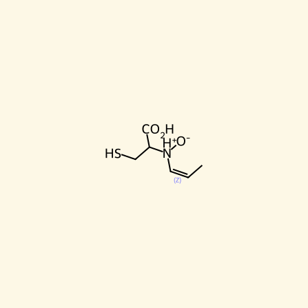 C/C=C\[NH+]([O-])C(CS)C(=O)O